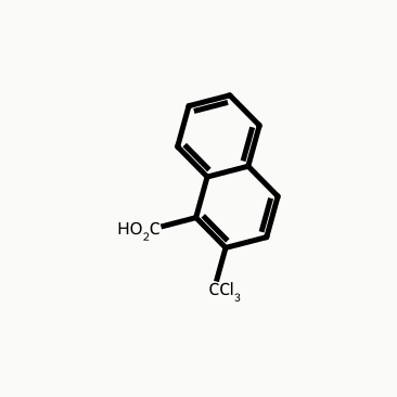 O=C(O)c1c(C(Cl)(Cl)Cl)ccc2ccccc12